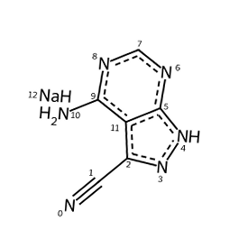 N#Cc1n[nH]c2ncnc(N)c12.[NaH]